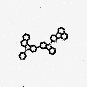 c1ccc(-n2c3ccc(-c4ccc5c(c4)c4ccccc4n5-c4ccc5c(n4)-c4nccc6cccc-5c46)cc3c3c4ccccc4ccc32)cc1